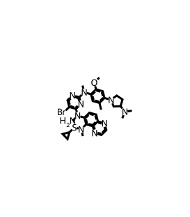 COc1cc(N2CCC(N(C)C)C2)c(C)cc1N(C)c1ncc(Br)c(N(N)c2ccc3nccnc3c2N(C)SC2CC2)n1